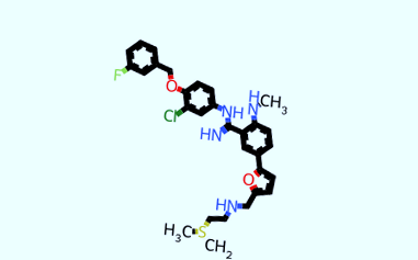 C=S(C)CCNCc1ccc(-c2ccc(NC)c(C(=N)Nc3ccc(OCc4cccc(F)c4)c(Cl)c3)c2)o1